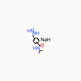 CNNCc1ccc(C(=O)NC(C)C)cc1.[NaH]